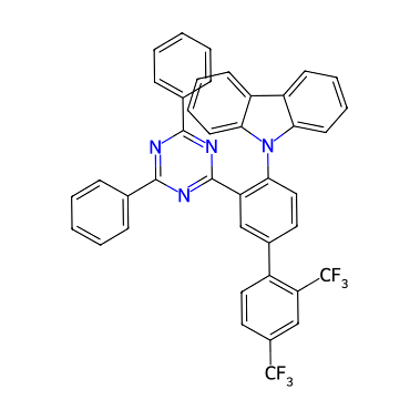 FC(F)(F)c1ccc(-c2ccc(-n3c4ccccc4c4ccccc43)c(-c3nc(-c4ccccc4)nc(-c4ccccc4)n3)c2)c(C(F)(F)F)c1